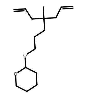 C=CCC(C)(CC=C)CCCOC1CCCCO1